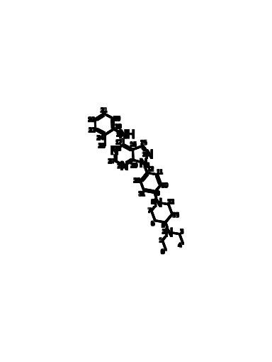 CCN(CC)C1CCN(c2ccc(-n3ncc4c(Nc5ccccc5C)ncnc43)cc2)CC1